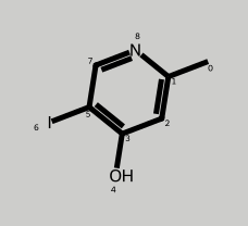 Cc1cc(O)c(I)cn1